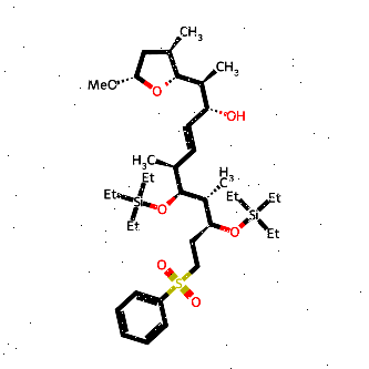 CC[Si](CC)(CC)O[C@H]([C@H](C)[C@H](CCS(=O)(=O)c1ccccc1)O[Si](CC)(CC)CC)[C@@H](C)/C=C/[C@@H](O)[C@H](C)[C@@H]1O[C@H](OC)C[C@H]1C